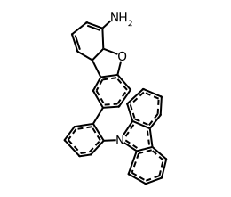 NC1=CC=CC2c3cc(-c4ccccc4-n4c5ccccc5c5ccccc54)ccc3OC12